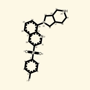 O=S(=O)(c1ccc(F)cc1)c1cnc2c(N3CC4CCNCC4C3)cccc2c1